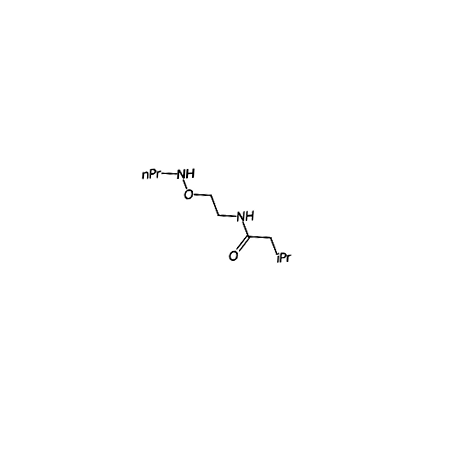 CCCNOCCNC(=O)CC(C)C